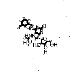 CC(=O)NN1CN([C@@H]2O[C@H](CO)C(O)C2O)c2nc(Cl)nc(NCc3cccc(I)c3)c21